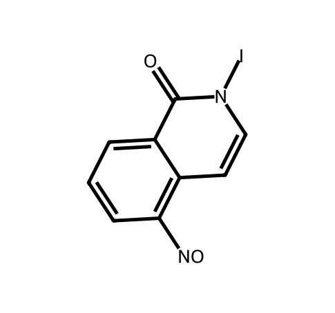 O=Nc1cccc2c(=O)n(I)ccc12